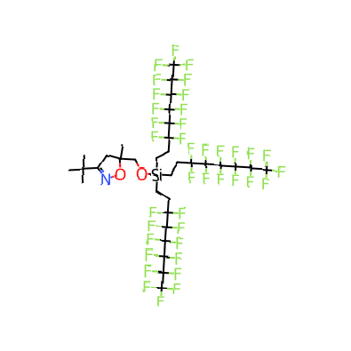 CC1(CO[Si](CCC(F)(F)C(F)(F)C(F)(F)C(F)(F)C(F)(F)C(F)(F)F)(CCC(F)(F)C(F)(F)C(F)(F)C(F)(F)C(F)(F)C(F)(F)F)CCC(F)(F)C(F)(F)C(F)(F)C(F)(F)C(F)(F)C(F)(F)F)CC(C(C)(C)C)=NO1